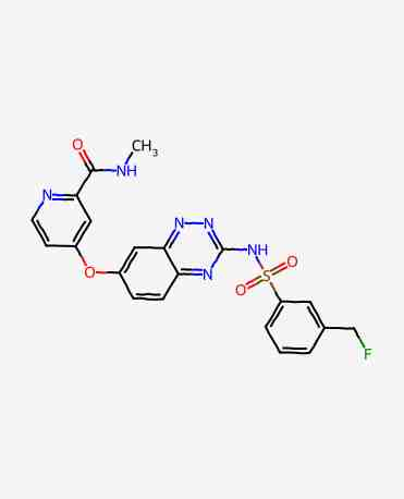 CNC(=O)c1cc(Oc2ccc3nc(NS(=O)(=O)c4cccc(CF)c4)nnc3c2)ccn1